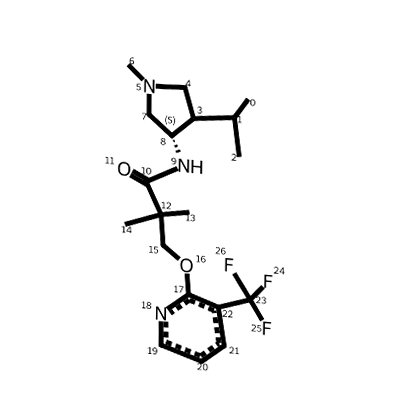 CC(C)C1CN(C)C[C@H]1NC(=O)C(C)(C)COc1ncccc1C(F)(F)F